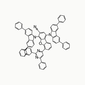 N#Cc1cc(-n2c3ccc(-c4ccccc4)cc3c3cc(-c4ccccc4)ccc32)c2c(oc3c(-c4cc(-c5ccccc5)nc(-c5ccccc5)n4)cccc32)c1-n1c2ccc(-c3ccccc3)cc2c2cc(-c3ccccc3)ccc21